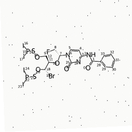 O=C(Nc1ccn([C@@H](CF)O[C@H](COSP(I)I)[C@H](Br)OSP(I)I)c(=O)n1)c1ccccc1